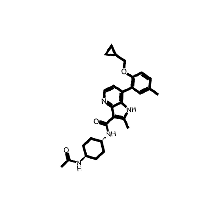 CC(=O)N[C@H]1CC[C@H](NC(=O)c2c(C)[nH]c3c(-c4cc(C)ccc4OCC4CC4)ccnc23)CC1